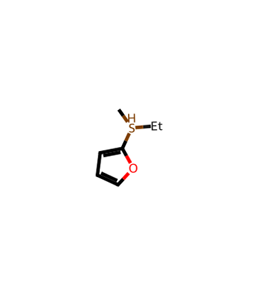 CC[SH](C)c1ccco1